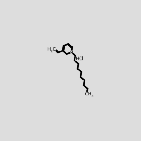 C=CC1=CC=CN(CCCCCCCCCC)C1.Cl